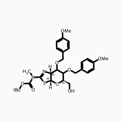 COc1ccc(COC2C(OCc3ccc(OC)cc3)[C@@H](CO)O[C@@H]3SC(N(C)C(=O)OC(C)(C)C)=N[C@H]23)cc1